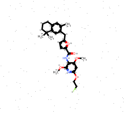 COc1cc(OCCF)nc(OC)c1NC(=O)c1ccc(Cc2cc3c(cc2C)CCCC3(C)C)o1